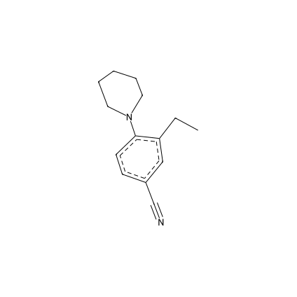 CCc1cc(C#N)ccc1N1CCCCC1